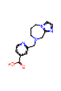 O=C(O)c1ccnc(CN2CCCn3ccnc3C2)c1